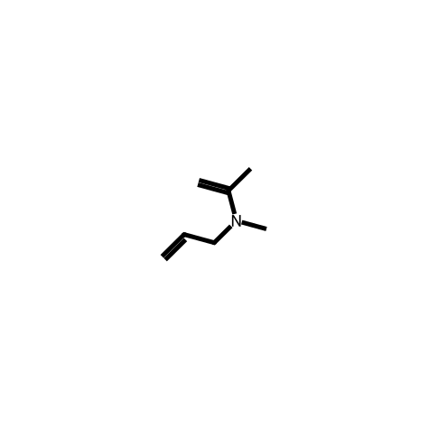 C=CCN(C)C(=C)C